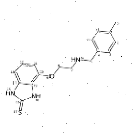 Cc1ccc(CNCCOc2cccc3[nH]c(=S)[nH]c23)cc1